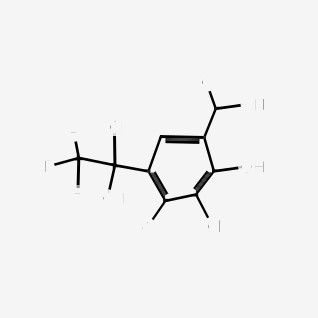 Cc1c(C(C)(C)C(F)(F)F)cc(C(C)C)c(O)c1Cl